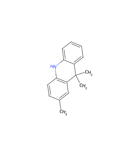 Cc1ccc2c(c1)C(C)(C)c1ccccc1N2